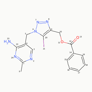 Cc1ncc(Cn2nnc(COC(=O)c3ccccc3)c2I)c(N)n1